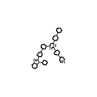 c1ccc(-c2ccc(-c3cc(-c4cccc(-c5ccc(C6=Nc7ccccc7C6c6ccccc6)cc5)c4)nc(-c4ccc(-c5ccncc5)cc4)n3)cc2)cc1